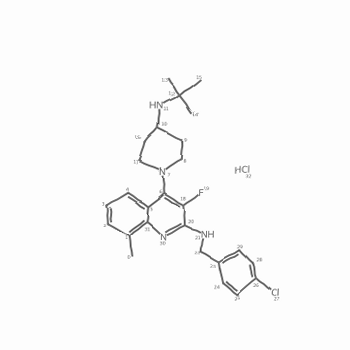 Cc1cccc2c(N3CCC(NC(C)(C)C)CC3)c(F)c(NCc3ccc(Cl)cc3)nc12.Cl